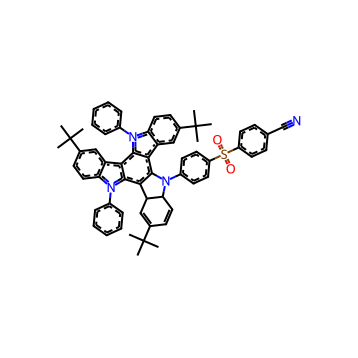 CC(C)(C)C1=CC2c3c(c4c5cc(C(C)(C)C)ccc5n(-c5ccccc5)c4c4c5cc(C(C)(C)C)ccc5n(-c5ccccc5)c34)N(c3ccc(S(=O)(=O)c4ccc(C#N)cc4)cc3)C2C=C1